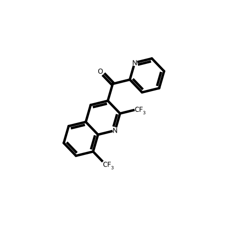 O=C(c1ccccn1)c1cc2cccc(C(F)(F)F)c2nc1C(F)(F)F